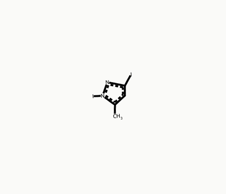 Cc1cc(I)nn1I